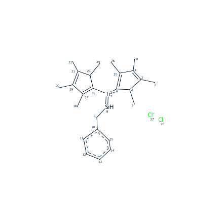 CC1=C(C)C(C)[C]([Ti+2](=[SiH]Cc2ccccc2)[C]2=C(C)C(C)=C(C)C2C)=C1C.[Cl-].[Cl-]